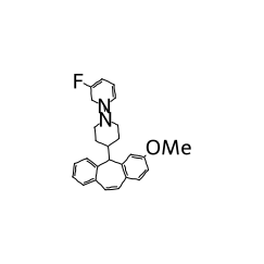 COc1ccc2c(c1)C(C1CCN(N3C=CC=C(F)C3)CC1)c1ccccc1C=C2